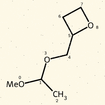 COC(C)OCC1CCO1